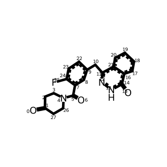 O=C1CCN(C(=O)c2cc(Cc3n[nH]c(=O)c4ccccc34)ccc2F)CC1